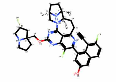 C#Cc1c(F)ccc2cc(O)cc(-c3nc4c5c(nc(OC[C@@]67CCCN6C[C@H](F)C7)nc5c3F)N3C[C@@]5(C)CC[C@H](N5)[C@H]3CC4)c12